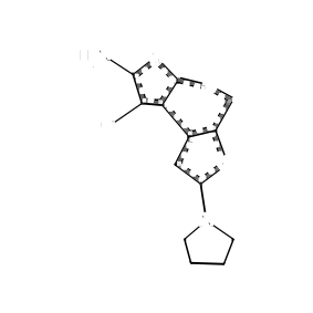 Nc1sc2ccc3oc(N4CCCC4)cc3c2c1Cl